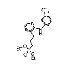 CCOP(=O)(CCCc1cccnc1Nc1cccc(C(F)(F)F)c1)OCC